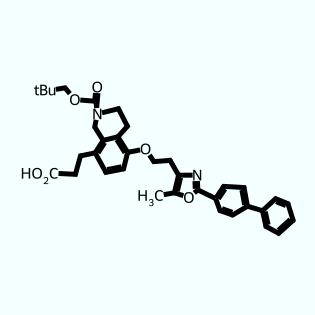 Cc1oc(-c2ccc(-c3ccccc3)cc2)nc1CCOc1ccc(CCC(=O)O)c2c1CCN(C(=O)OCC(C)(C)C)C2